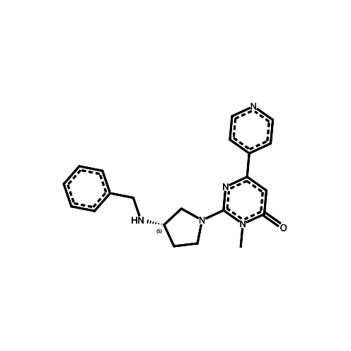 Cn1c(N2CC[C@H](NCc3ccccc3)C2)nc(-c2ccncc2)cc1=O